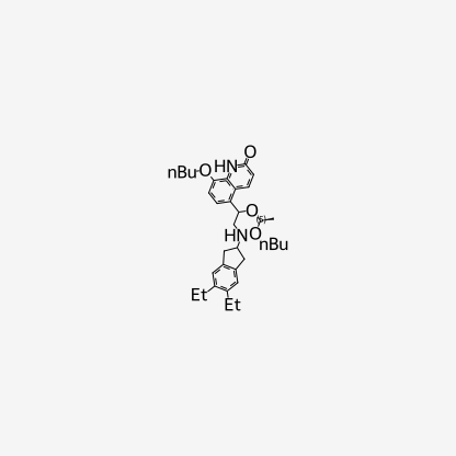 CCCCOc1ccc(C(CNC2Cc3cc(CC)c(CC)cc3C2)O[C@@H](C)OCCCC)c2ccc(=O)[nH]c12